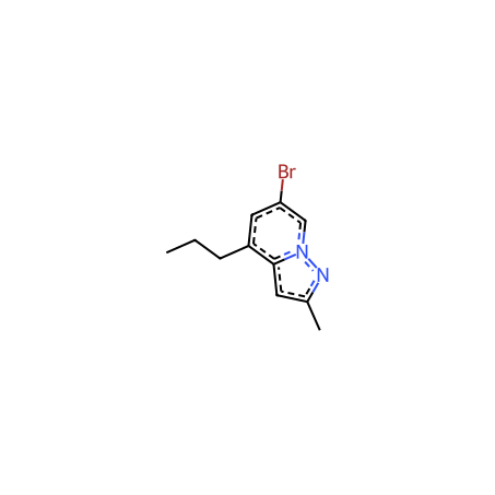 CCCc1cc(Br)cn2nc(C)cc12